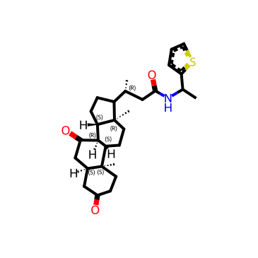 CC(NC(=O)C[C@@H](C)C1CC[C@H]2[C@@H]3C(=O)C[C@@H]4CC(=O)CC[C@]4(C)[C@H]3CC[C@]12C)c1cccs1